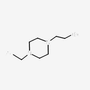 CC(=O)CN1CCN(CCC(C)(C)C)CC1